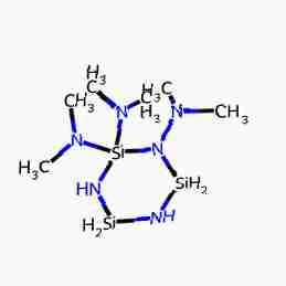 CN(C)N1[SiH2]N[SiH2]N[Si]1(N(C)C)N(C)C